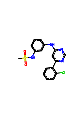 CS(=O)(=O)Nc1cccc(Nc2cc(-c3ccccc3Cl)ncn2)c1